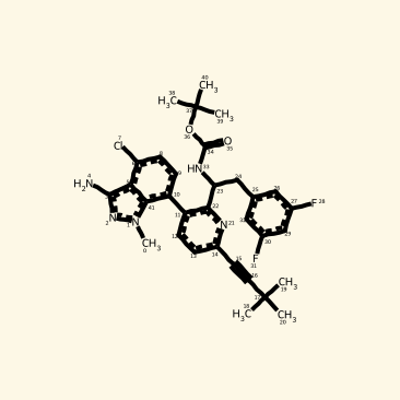 Cn1nc(N)c2c(Cl)ccc(-c3ccc(C#CC(C)(C)C)nc3C(Cc3cc(F)cc(F)c3)NC(=O)OC(C)(C)C)c21